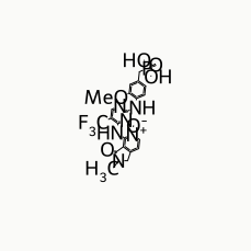 COc1cc(CP(=O)(O)O)ccc1Nc1ncc(C(F)(F)F)c(Nc2c3c(cc[n+]2[O-])CN(C)C3=O)n1